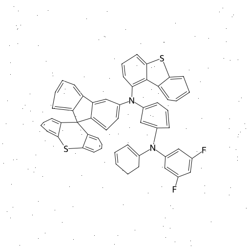 Fc1cc(F)cc(N(C2=CC=CCC2)c2cccc(N(c3ccc4c(c3)-c3ccccc3C43c4ccccc4Sc4ccccc43)c3cccc4sc5ccccc5c34)c2)c1